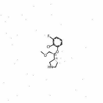 COC[C@@H](Oc1cccc(F)c1Cl)[C@@H]1CCNC1